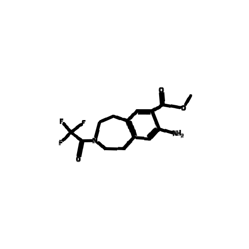 COC(=O)c1cc2c(cc1N)CCN(C(=O)C(F)(F)F)CC2